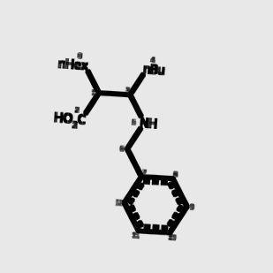 CCCCCCC(C(=O)O)C(CCCC)NCc1ccccc1